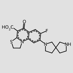 O=C(O)c1c2n(c3cc(N4CCC5(CCNC5)C4)c(F)cc3c1=O)CCS2